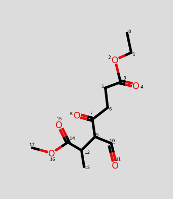 CCOC(=O)CCC(=O)C([C]=O)C(C)C(=O)OC